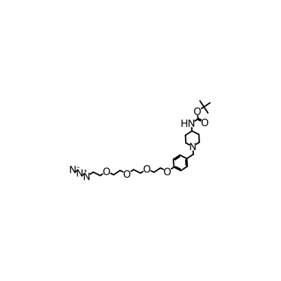 CC(C)(C)OC(=O)NC1CCN(Cc2ccc(OCCOCCOCCOCCN=[N+]=[N-])cc2)CC1